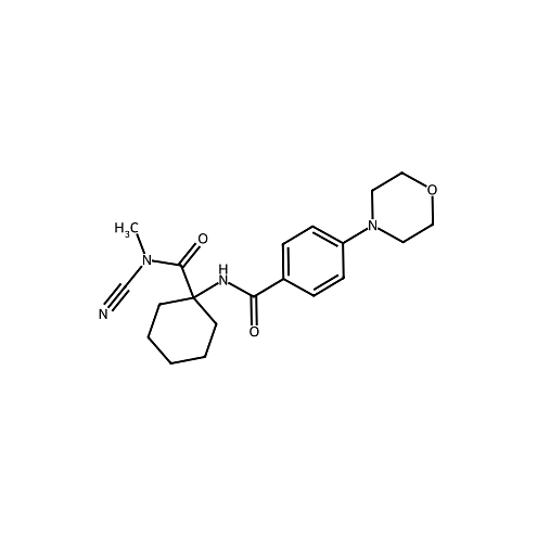 CN(C#N)C(=O)C1(NC(=O)c2ccc(N3CCOCC3)cc2)CCCCC1